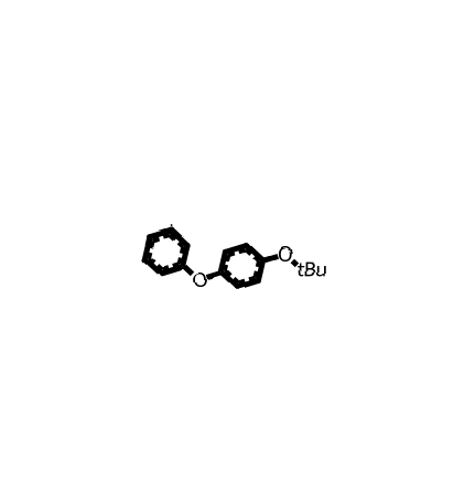 CC(C)(C)Oc1ccc(Oc2c[c]ccc2)cc1